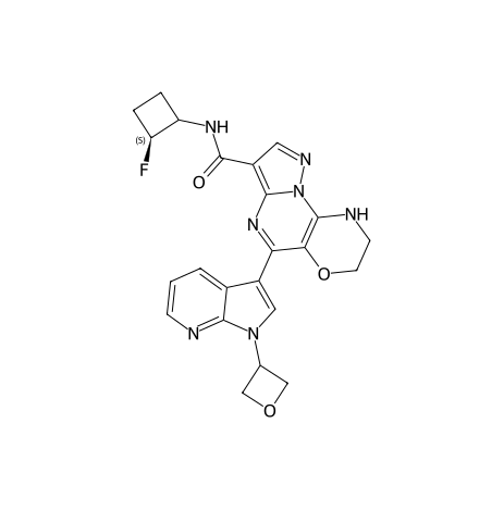 O=C(NC1CC[C@@H]1F)c1cnn2c3c(c(-c4cn(C5COC5)c5ncccc45)nc12)OCCN3